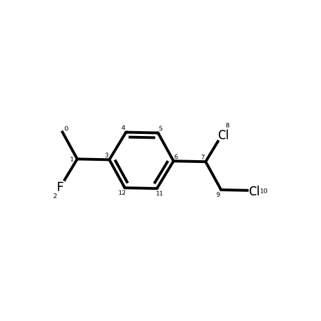 CC(F)c1ccc(C(Cl)CCl)cc1